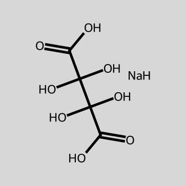 O=C(O)C(O)(O)C(O)(O)C(=O)O.[NaH]